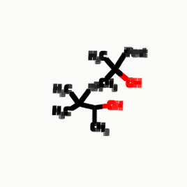 CCCC(C)(C)C(C)O.CCCC(C)C(C)(C)O